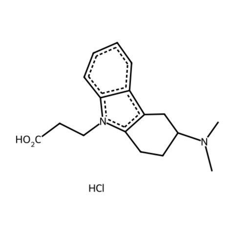 CN(C)C1CCc2c(c3ccccc3n2CCC(=O)O)C1.Cl